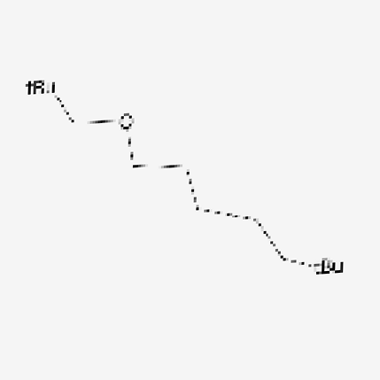 CC(C)(C)CCCCCOCC(C)(C)C